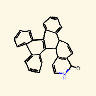 CCC1NC=CC2=C1C=CC1c3ccccc3-c3c(c4ccccc4c4ccccc34)C21